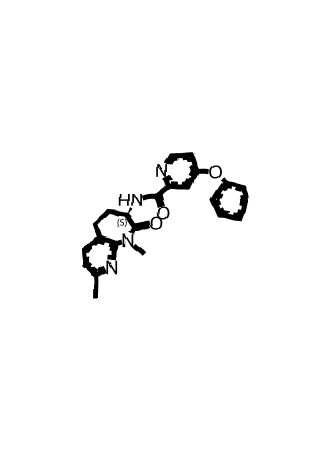 Cc1ccc2c(n1)N(C)C(=O)[C@@H](NC(=O)c1cc(Oc3ccccc3)ccn1)CC2